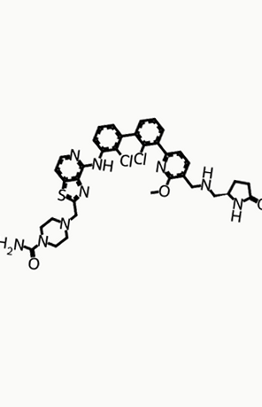 COc1nc(-c2cccc(-c3cccc(Nc4nccc5sc(CN6CCN(C(N)=O)CC6)nc45)c3Cl)c2Cl)ccc1CNC[C@H]1CCC(=O)N1